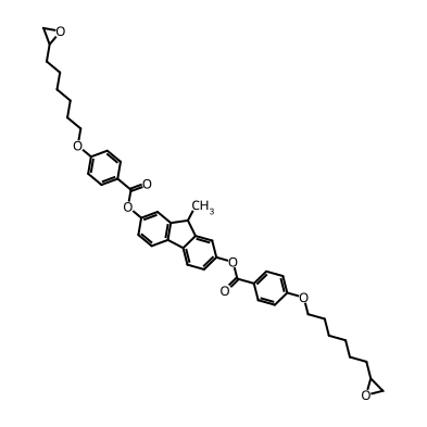 CC1c2cc(OC(=O)c3ccc(OCCCCCCC4CO4)cc3)ccc2-c2ccc(OC(=O)c3ccc(OCCCCCCC4CO4)cc3)cc21